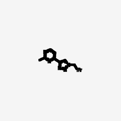 Cc1nccc(-c2cn(CC(C)C)nn2)n1